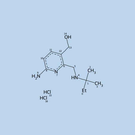 CCC(C)(C)NCc1nc(N)ccc1CO.Cl.Cl